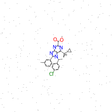 COC(=O)c1nc([C@H](C)C2CC2)c2c(n1)nc(-c1cccc(C)c1)n2C(C)c1ccc(Cl)cc1